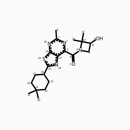 Cc1nc(C(=O)N2CC(O)C2(C)C)c2nc(C3CCC(C)(C)CC3)sc2n1